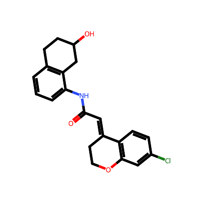 O=C(C=C1CCOc2cc(Cl)ccc21)Nc1cccc2c1CC(O)CC2